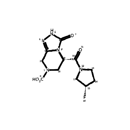 O=C(O)N1Cc2n[nH]c(=O)n2[C@H](C(=O)N2CC[C@H](F)C2)C1